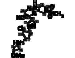 COC1CC(NCc2ccc(-n3cc(-c4nc(NC5CCN(S(C)(=O)=O)CC5)ncc4C#N)cn3)c(Cl)c2)C1